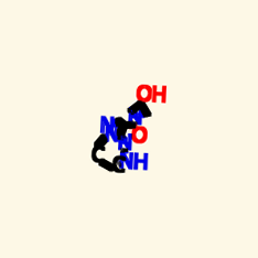 O=C(c1cnn2c1/N=C/NCCCC/C=C\2)N1CC(O)C1